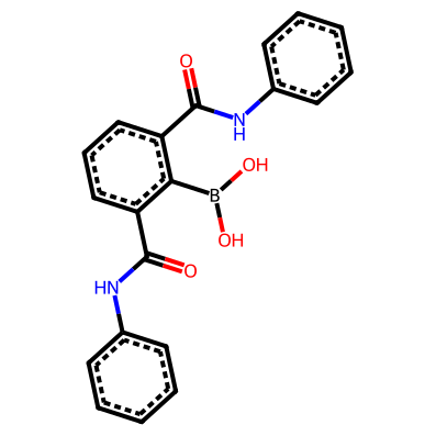 O=C(Nc1ccccc1)c1cccc(C(=O)Nc2ccccc2)c1B(O)O